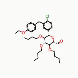 CCCCO[C@@H]1[C@@H](OCCCC)[C@H](c2ccc(Cl)c(Cc3ccc(OCC)cc3)c2)O[C@H](C=O)[C@H]1OCCCC